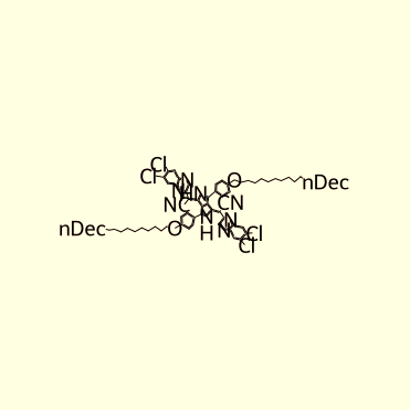 CCCCCCCCCCCCCCCCCCCCOc1ccc(-c2[nH]/c(=C(/C#N)c3cnc4cc(Cl)c(Cl)cc4n3)c3c(-c4ccc(OCCCCCCCCCCCCCCCCCCCC)cc4)[nH]/c(=C(/C#N)c4cnc5cc(Cl)c(Cl)cc5n4)c23)cc1